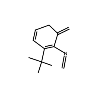 C=NC1=C(C(C)(C)C)C=CCC1=C